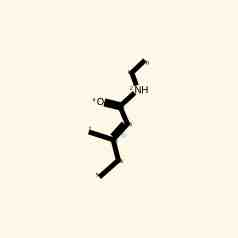 CCNC(=O)/C=C(\C)CC